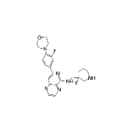 Fc1cc(-c2cc3nccnc3c(NCC3(F)CCCNC3)n2)ccc1N1CCOCC1